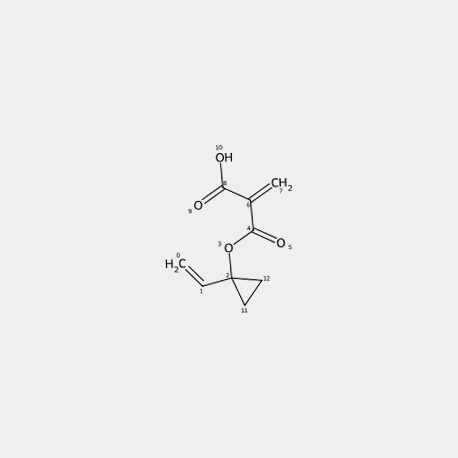 C=CC1(OC(=O)C(=C)C(=O)O)CC1